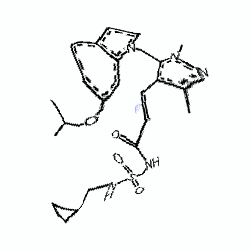 Cc1nn(C)c(-n2ccc3ccc(OC(C)C)cc32)c1/C=C/C(=O)NS(=O)(=O)NCC1CC1